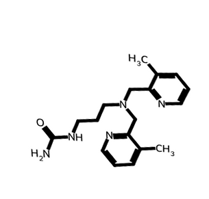 Cc1cccnc1CN(CCCNC(N)=O)Cc1ncccc1C